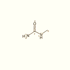 C[SiH]C(N)=O